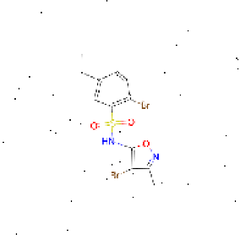 CCc1ccc(Br)c(S(=O)(=O)Nc2onc(C)c2Br)c1